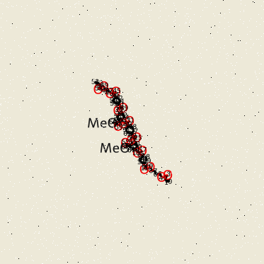 C=CC(=O)OCCCCOC(=O)C1CCC(C(=O)Oc2ccc(OC(=O)C3CCC(C(=O)Oc4ccc(OC(=O)C5CCC(C(=O)OCCOC(=O)C=C)CC5)cc4C(=O)OC)CC3)c(C(=O)OC)c2)CC1